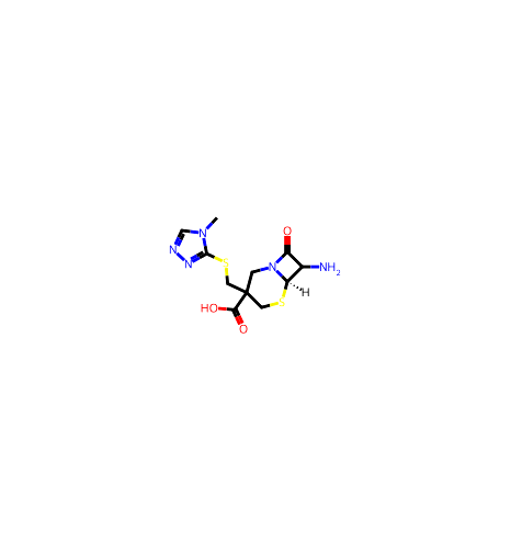 Cn1cnnc1SCC1(C(=O)O)CS[C@@H]2C(N)C(=O)N2C1